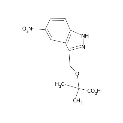 CC(C)(OCc1n[nH]c2ccc([N+](=O)[O-])cc12)C(=O)O